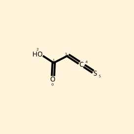 O=C(O)C=C=S